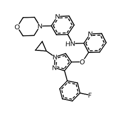 Fc1cccc(-c2nn(C3CC3)cc2Oc2cccnc2Nc2ccnc(N3CCOCC3)c2)c1